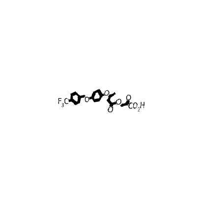 CC(CC(=O)OCC(=O)C(=O)O)Oc1ccc(OCc2ccc(C(F)(F)F)cc2)cc1